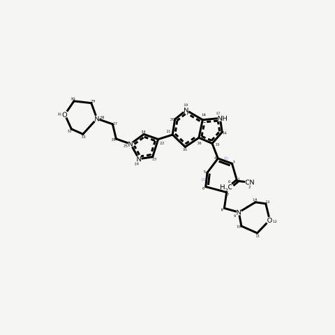 C=C(C#N)/C=C(\C=C/CCN1CCOCC1)c1c[nH]c2ncc(-c3cnn(CCN4CCOCC4)c3)cc12